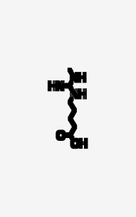 CNC(=N)NCCCCC(=O)O